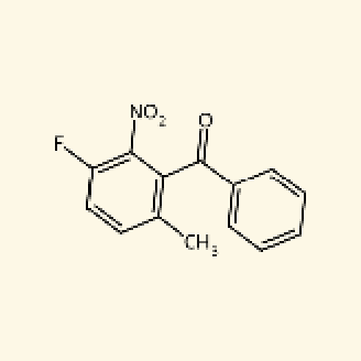 Cc1ccc(F)c([N+](=O)[O-])c1C(=O)c1ccccc1